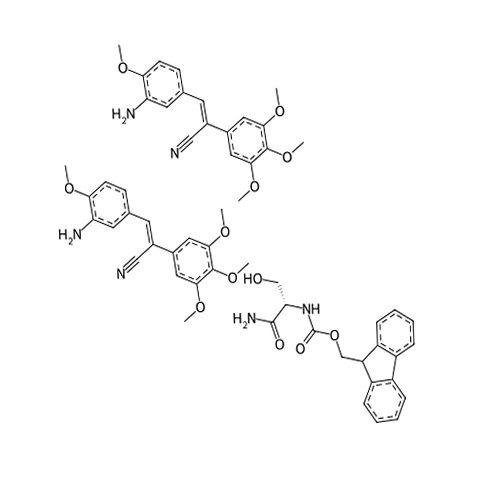 COc1ccc(C=C(C#N)c2cc(OC)c(OC)c(OC)c2)cc1N.COc1ccc(C=C(C#N)c2cc(OC)c(OC)c(OC)c2)cc1N.NC(=O)[C@H](CO)NC(=O)OCC1c2ccccc2-c2ccccc21